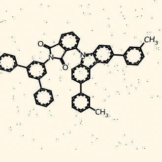 Cc1cccc(-c2ccc3c(c2)c2cc(-c4cccc(C)c4)ccc2n3-c2cccc3c2C(=O)N(c2cc(-c4ccccc4)cc(-c4ccccc4)c2)C3=O)c1